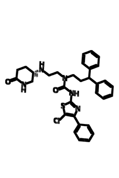 O=C1CC[C@H](NCCN(CCC(c2ccccc2)c2ccccc2)C(=O)Nc2nc(-c3ccccc3)c(Cl)s2)CN1